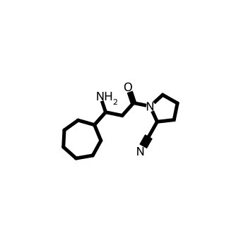 N#CC1CCCN1C(=O)CC(N)C1CCCCCC1